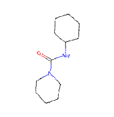 O=C(NC1CCCCC1)N1CCCCC1